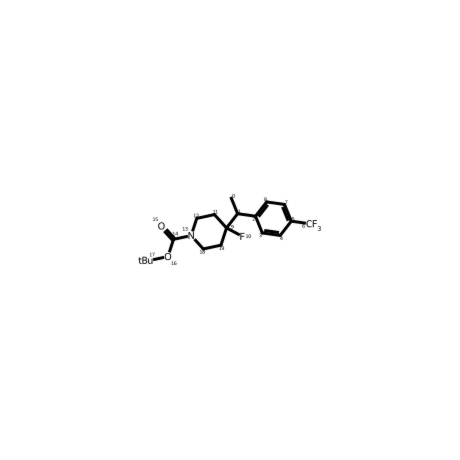 CC(c1ccc(C(F)(F)F)cc1)C1(F)CCN(C(=O)OC(C)(C)C)CC1